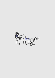 C=C1/C(=C\C=C2/CCCC3(C)C2CC[C@@H]3[C@H](C)/C=C/C(C)C)C[C@@H](O)C[C@@H]1O